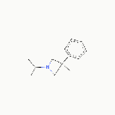 CC(C)N1CC(C)(c2ccccc2)C1